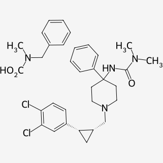 CN(C)C(=O)NC1(c2ccccc2)CCN(C[C@@H]2C[C@@H]2c2ccc(Cl)c(Cl)c2)CC1.CN(Cc1ccccc1)C(=O)O